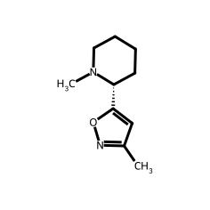 Cc1cc([C@H]2CCCCN2C)on1